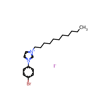 CCCCCCCCCCC[n+]1ccn(-c2ccc(Br)cc2)c1.[I-]